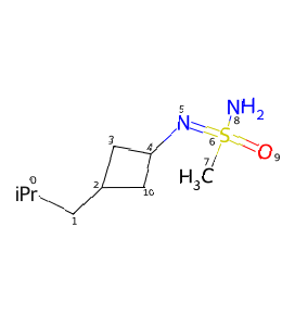 CC(C)CC1CC(N=S(C)(N)=O)C1